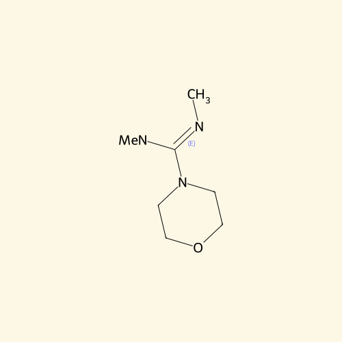 C/N=C(\NC)N1CCOCC1